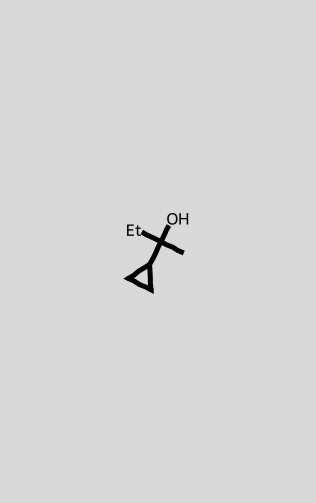 CCC(C)(O)C1CC1